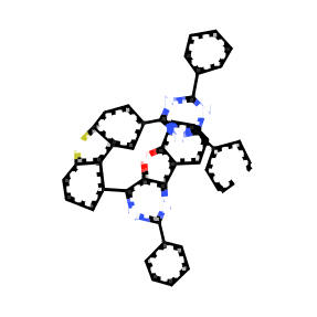 c1ccc(-c2nc(-c3ccccc3)nc(-c3ccc4sc5cccc(-c6nc(-c7ccccc7)nc7c6oc6ccccc67)c5c4c3)n2)cc1